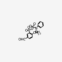 Cc1ccc(C=O)cc1S(=O)(=O)OS(=O)(=O)N(N)c1ccccc1